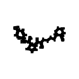 O=C(CCCCN1CCOCC1=O)Nc1ccsc1C(=O)Nc1ccc(Cl)cn1